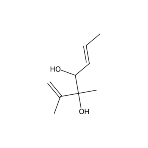 C=C(C)C(C)(O)C(O)C=CC